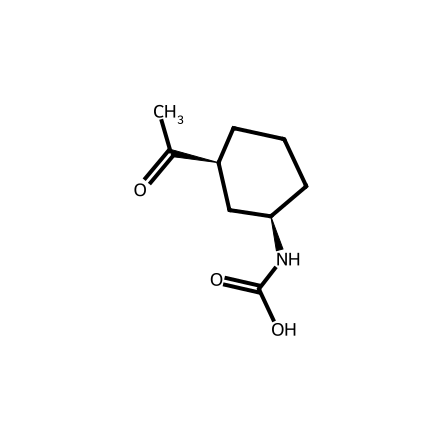 CC(=O)[C@H]1CCC[C@@H](NC(=O)O)C1